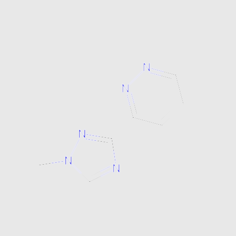 Cc1ccc(-c2ncn(C)n2)nn1